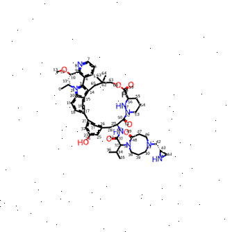 CCn1c(-c2cccnc2[C@H](C)OC)c2c3cc(ccc31)-c1cc(O)cc(c1)C[C@H](NC(=O)C(C(C)C)N1CCCN(C[C@@H]3CN3)CCC1=O)C(=O)N1CCC[C@H](N1)C(=O)OCC(C)(C)C2